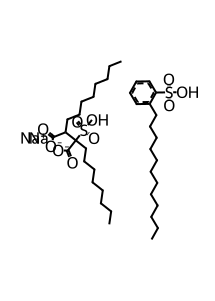 CCCCCCCCC(C(=O)[O-])C(CCCCCCCC)(C(=O)[O-])S(=O)(=O)O.CCCCCCCCCCCCc1ccccc1S(=O)(=O)O.[Na+].[Na+]